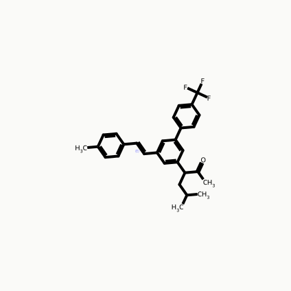 CC(=O)C(CC(C)C)c1cc(/C=C/c2ccc(C)cc2)cc(-c2ccc(C(F)(F)F)cc2)c1